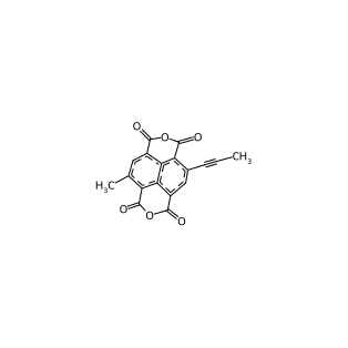 CC#Cc1cc2c3c(c(C)cc4c3c1C(=O)OC4=O)C(=O)OC2=O